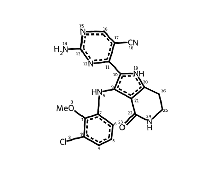 COc1c(Cl)cccc1Nc1c(-c2nc(N)ncc2C#N)[nH]c2c1C(=O)NCC2